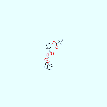 CCC(C)(C)C(=O)OC1CC2CC(C(=O)OCOC3C4CC5CC(C4)C(=O)C3C5)C1C2